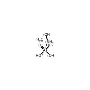 O.O=[As](O)(O)O.[OH][BiH2]